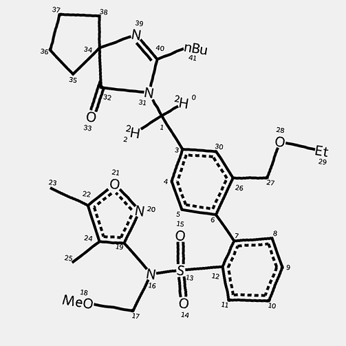 [2H]C([2H])(c1ccc(-c2ccccc2S(=O)(=O)N(COC)c2noc(C)c2C)c(COCC)c1)N1C(=O)C2(CCCC2)N=C1CCCC